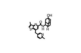 Cc1ccc(Cc2cc(C(=O)NC3C4CC5C[C@H]3CC(O)(C5)C4)nc3c(C)csc23)cn1